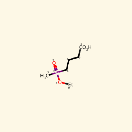 CCOP(C)(=O)CCCC(=O)O